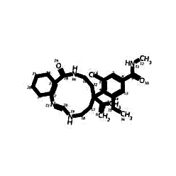 C=C(C)C1(c2c(Cl)cc(C(=O)NC)cc2CC)CCN/C=N/C2=C(CCCC2)C(=O)NCC1